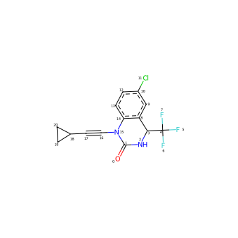 O=C1NC(C(F)(F)F)c2cc(Cl)ccc2N1C#CC1CC1